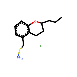 CCCC1CCc2c(CSN)cccc2O1.Cl